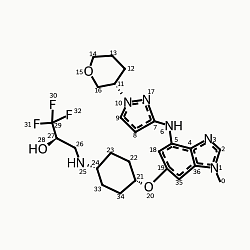 Cn1cnc2c(Nc3ccn([C@H]4CCCOC4)n3)cc(O[C@H]3CC[C@@H](NC[C@@H](O)C(F)(F)F)CC3)cc21